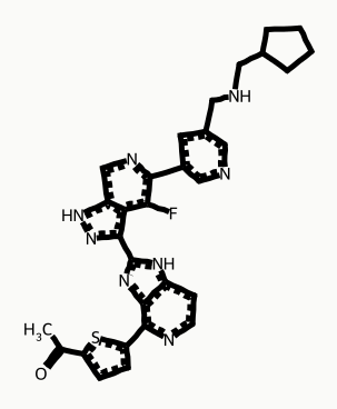 CC(=O)c1ccc(-c2nccc3[nH]c(-c4n[nH]c5cnc(-c6cncc(CNCC7CCCC7)c6)c(F)c45)nc23)s1